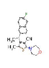 Cc1sc(N2CCOCC2)c(C#N)c1C(C)c1ccc2cc(F)ccc2c1